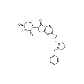 O=C1CCC(N2Cc3cc(OC[C@@H]4CCCN4Cc4ccccc4)ccc3C2=O)C(=O)N1